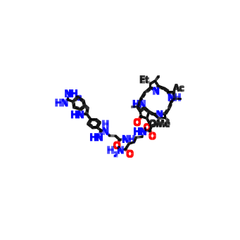 CC[C@H]1c2cc3[nH]c4c(c3C)C(=O)C(C(=O)OC)c4c3nc(cc4[nH]c(cc(n2)[C@@H]1C)c(C(C)=O)c4C)[C@@H](C)[C@@H]3CCC(=O)NCCCC(NC(=O)CCNC(=N)c1ccc(-c2cc3ccc(C(=N)N)cc3[nH]2)cc1)C(N)=O